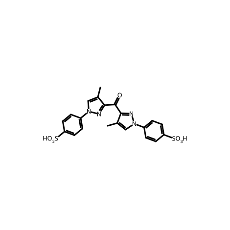 Cc1cn(-c2ccc(S(=O)(=O)O)cc2)nc1C(=O)c1nn(-c2ccc(S(=O)(=O)O)cc2)cc1C